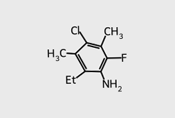 CCc1c(C)c(Cl)c(C)c(F)c1N